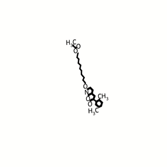 CCC(=O)OCCCCCCCCCCCOc1ccc2cc(-c3cc(C)ccc3C)c(=O)oc2n1